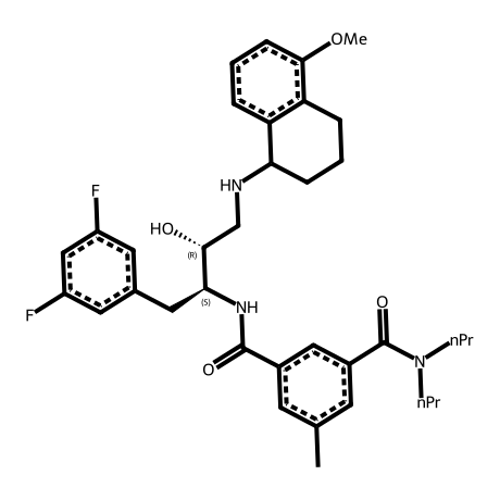 CCCN(CCC)C(=O)c1cc(C)cc(C(=O)N[C@@H](Cc2cc(F)cc(F)c2)[C@H](O)CNC2CCCc3c(OC)cccc32)c1